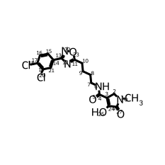 CN1CC(C(=O)NCCCCc2nc(-c3ccc(Cl)c(Cl)c3)no2)=C(O)C1=O